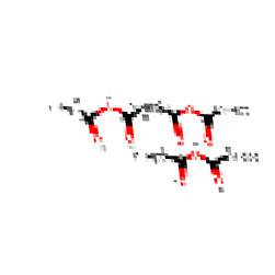 CCCCCCCC(=O)OC(=O)CCCCCCC.CCCCCCCC(=O)OC(=O)CCCCCCC.CCCCCCCC(=O)OC(=O)CCCCCCC